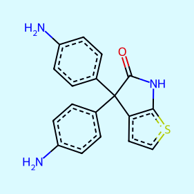 Nc1ccc(C2(c3ccc(N)cc3)C(=O)Nc3sccc32)cc1